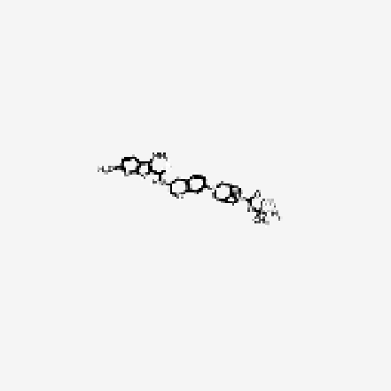 Cc1ccc2c(N)c(C(=O)NC3COc4cc(N5CC6CN(C(=O)OC(C)(C)C)CC(C5)C6(F)F)ccc4C3)sc2n1